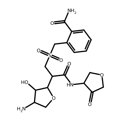 NC(=O)c1ccccc1CS(=O)(=O)CC(C(=O)NC1COCC1=O)C1OCC(N)C1O